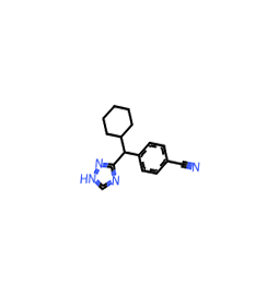 N#Cc1ccc(C(c2nc[nH]n2)C2CCCCC2)cc1